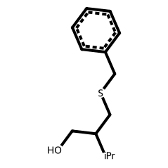 CC(C)C(CO)CSCc1ccccc1